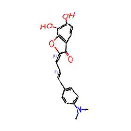 CN(C)c1ccc(/C=C/C=C2/Oc3c(ccc(O)c3O)C2=O)cc1